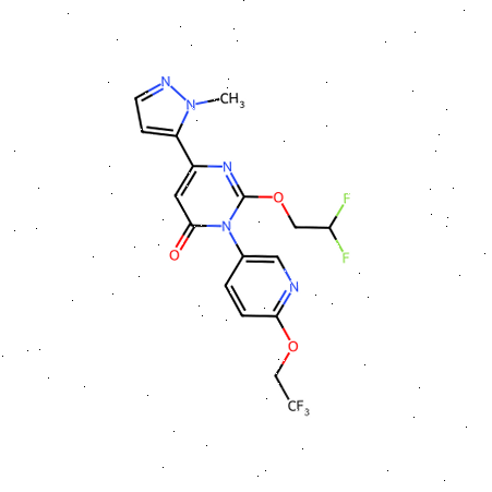 Cn1nccc1-c1cc(=O)n(-c2ccc(OCC(F)(F)F)nc2)c(OCC(F)F)n1